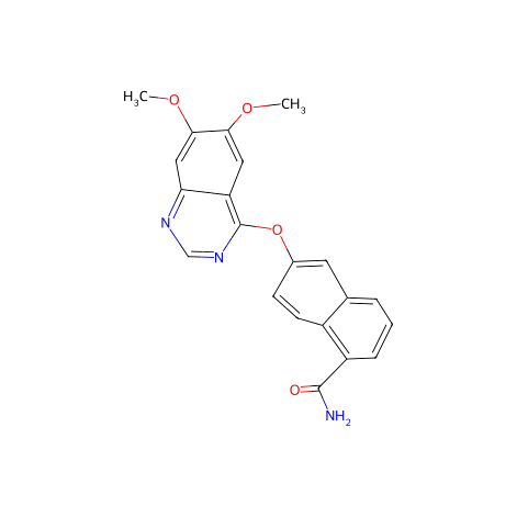 COc1cc2ncnc(Oc3ccc4c(C(N)=O)cccc4c3)c2cc1OC